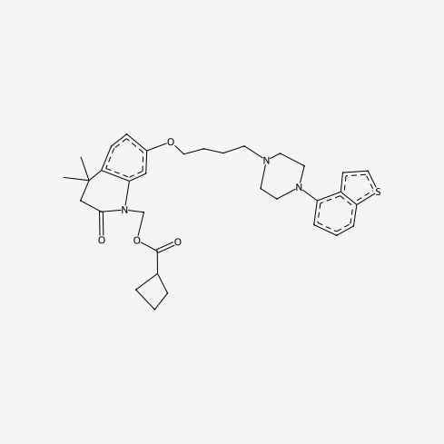 CC1(C)CC(=O)N(COC(=O)C2CCC2)c2cc(OCCCCN3CCN(c4cccc5sccc45)CC3)ccc21